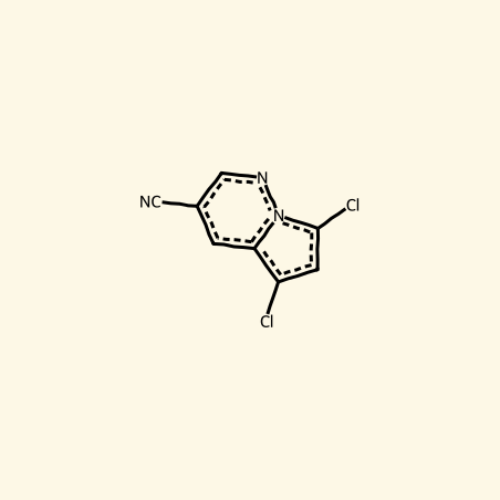 N#Cc1cnn2c(Cl)cc(Cl)c2c1